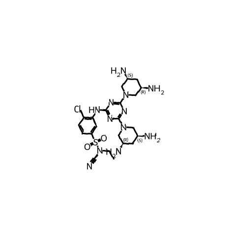 CCN(C#N)S(=O)(=O)c1ccc(Cl)c(Nc2nc(N3C[C@H](N)C[C@H](N)C3)nc(N3C[C@H](N)C[C@H](N)C3)n2)c1